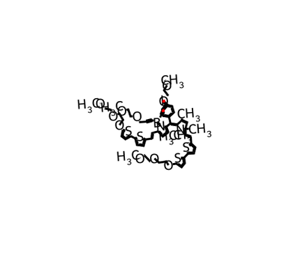 COCCOCC#CB(C#CCOCCOC)n1c(/C=C/c2ccc(-c3ccc(OCCOCCOC)s3)s2)cc(C)c1/C(=C1/C(C)=CC(C)(/C=C/c2ccc(-c3ccc(OCCOCCOC)s3)s2)N1C)c1ccc(I)cc1